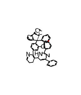 C1=NC(c2ccc3c(c2)Oc2ccccc2C32c3ccccc3-c3ccccc32)=C(C2C=C(c3ccccc3)N=C(c3ccccc3)N2)CC1